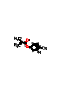 C=C(C)C(=O)OC1C[C@H]2CC1CC2C#N